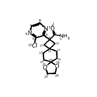 NC(=O)C1(c2nccnc2Cl)CC2(CCC3(CC2)OCCO3)C1